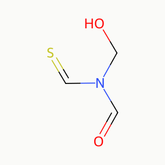 O=CN(C=S)CO